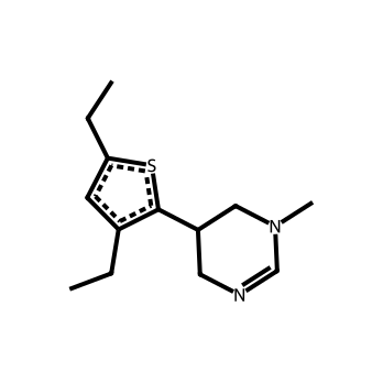 CCc1cc(CC)c(C2CN=CN(C)C2)s1